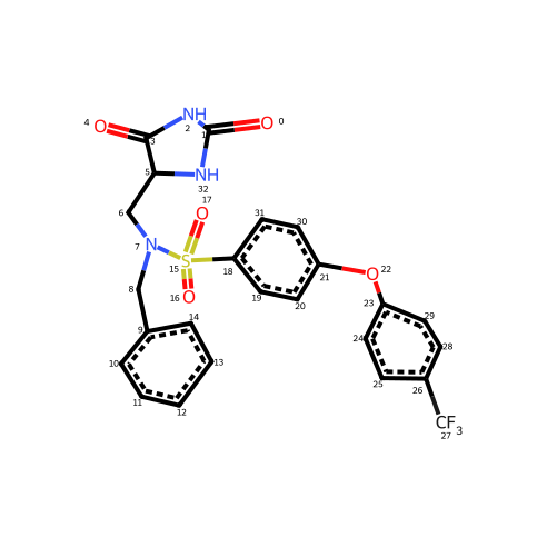 O=C1NC(=O)C(CN(Cc2ccccc2)S(=O)(=O)c2ccc(Oc3ccc(C(F)(F)F)cc3)cc2)N1